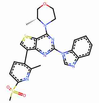 Cc1nc(S(C)(=O)=O)ccc1-c1csc2c(N3CCOC[C@H]3C)nc(-n3cnc4ccccc43)nc12